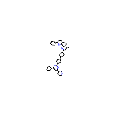 Cc1cc(C2=CCC(c3ccc(-c4nc(-c5ccccc5)cc(-c5cccnc5)n4)cc3)C=C2)nc2c1ccc1ccc(-c3ccccc3)nc12